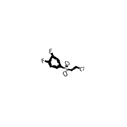 O=S(=O)(CCCl)c1ccc(F)c(F)c1